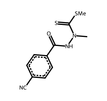 CSC(=S)N(C)NC(=O)c1ccc(C#N)cc1